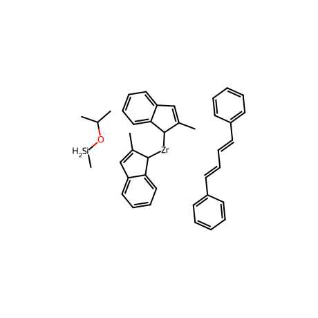 C(C=Cc1ccccc1)=Cc1ccccc1.CC1=Cc2ccccc2[CH]1[Zr][CH]1C(C)=Cc2ccccc21.C[SiH2]OC(C)C